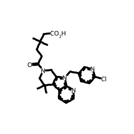 CC(C)(CCC(=O)N1Cc2c(c3cccnc3n2Cc2ccc(Cl)nc2)C(C)(C)C1)CC(=O)O